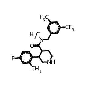 Cc1cc(F)ccc1C1CNCCC1C(=O)N(C)Cc1cc(C(F)(F)F)cc(C(F)(F)F)c1